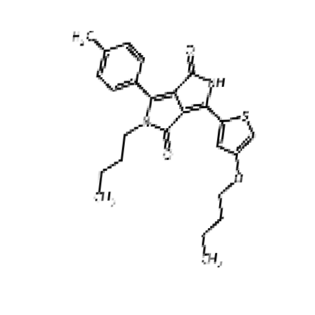 CCCCOc1csc(C2=C3C(=O)N(CCCC)C(c4ccc(C)cc4)=C3C(=O)N2)c1